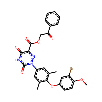 COc1ccc(Oc2c(C)cc(-n3nc(C(=O)OCC(=O)c4ccccc4)c(=O)[nH]c3=O)cc2C)cc1Br